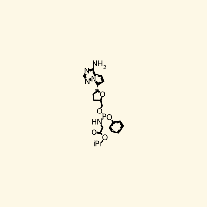 CC(C)OC(=O)CNP(OCC1CC[C@H](c2ccc3c(N)ncnn23)O1)Oc1ccccc1